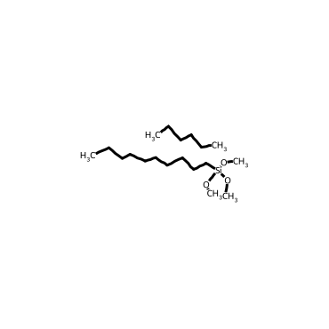 CCCCCC.CCCCCCCCCC[Si](OC)(OC)OC